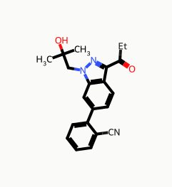 CCC(=O)c1nn(CC(C)(C)O)c2cc(-c3ccccc3C#N)ccc12